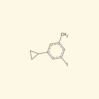 [CH2]c1cc(I)cc(C2CC2)c1